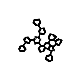 c1ccc(-c2cccc(-c3nc(-c4cccc(-c5ccccc5)c4)nc(-c4cccc5c4cc(-c4ccccc4)c4c(-c6ccccc6)nn(-c6ccccc6)c45)n3)c2)cc1